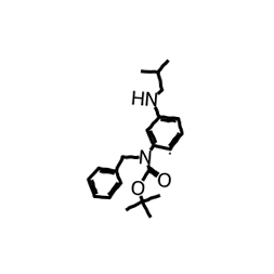 CC(C)CNc1cc[c]c(N(Cc2ccccc2)C(=O)OC(C)(C)C)c1